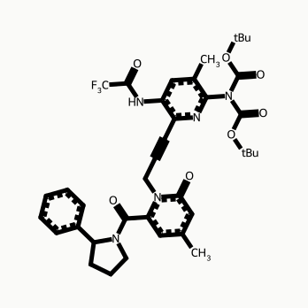 Cc1cc(C(=O)N2CCCC2c2ccccc2)n(CC#Cc2nc(N(C(=O)OC(C)(C)C)C(=O)OC(C)(C)C)c(C)cc2NC(=O)C(F)(F)F)c(=O)c1